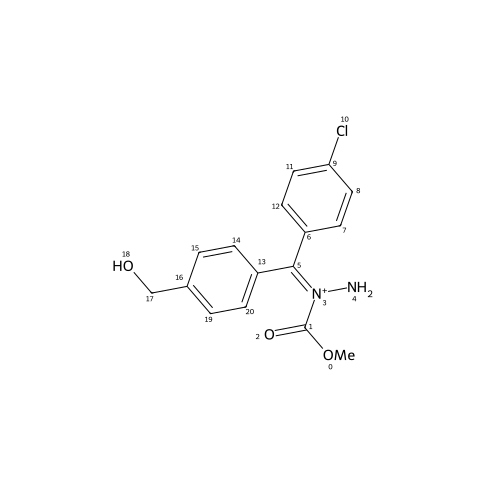 COC(=O)[N+](N)=C(c1ccc(Cl)cc1)c1ccc(CO)cc1